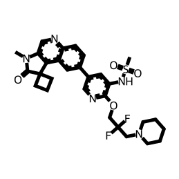 CN1C(=O)C2(CCC2)c2c1cnc1ccc(-c3cnc(OCC(F)(F)CN4CCCCC4)c(NS(C)(=O)=O)c3)cc21